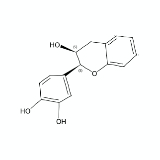 Oc1ccc([C@@H]2Oc3c[c]c[c]c3C[C@@H]2O)cc1O